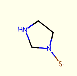 [S]N1CCNC1